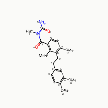 CNc1c(C(=O)N(C)C(N)=O)ccc(OC)c1CCc1ccc(OC)c(OC)c1